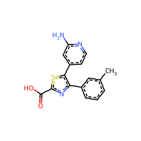 Cc1cccc(-c2nc(C(=O)O)sc2-c2ccnc(N)c2)c1